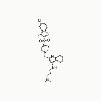 Cc1c(S(=O)(=O)N2CCN(Cc3nc(NCCCN(C)C)c4ccccc4n3)CC2)sc2ccc(Cl)cc12